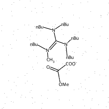 CCCCN(CCCC)C(N(CCCC)CCCC)=[N+](C)CCCC.COC(=O)C(=O)[O-]